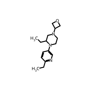 CCc1ccc(N2CCN(C3COC3)CC2CC)cn1